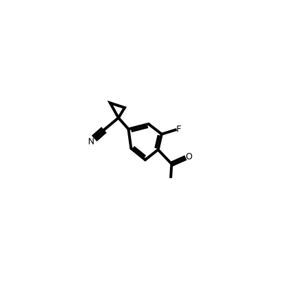 CC(=O)c1ccc(C2(C#N)CC2)cc1F